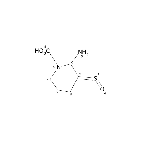 NC1C(=S=O)CCCN1C(=O)O